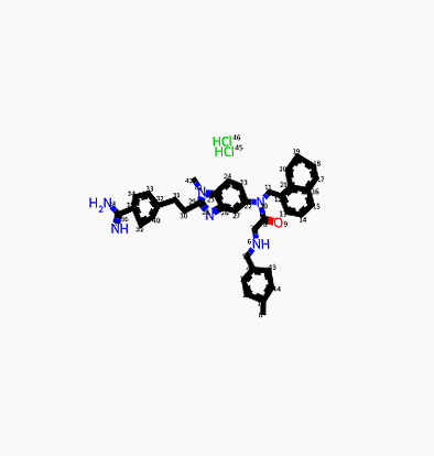 Cc1ccc(CNCC(=O)N(Cc2cccc3ccccc23)c2ccc3c(c2)nc(CCc2ccc(C(=N)N)cc2)n3C)cc1.Cl.Cl